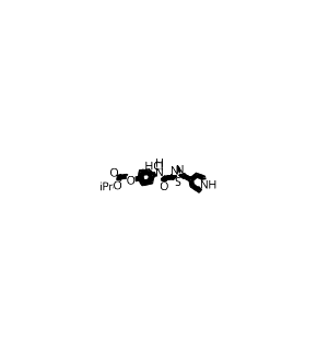 CC(C)OC(=O)COc1ccc(NC(=O)c2nnc(C3CCNCC3)s2)cc1.Cl